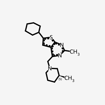 Cc1nc(CN2CCC[C@H](C)C2)c2cc(C3CCCCC3)sc2n1